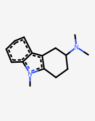 CN(C)C1CCc2c(c3ccccc3n2C)C1